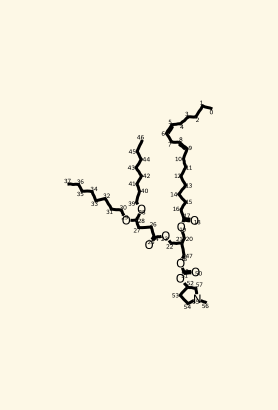 CCCCC/C=C\C/C=C\CCCCCCCC(=O)OCC(COC(=O)CCC(OCCCCCCCC)OCCCCCCCC)COC(=O)OC1CCN(C)C1